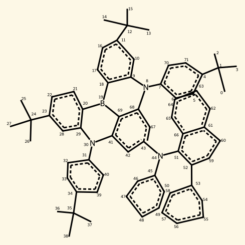 CC(C)(C)c1ccc(N2c3cc(C(C)(C)C)ccc3B3c4ccc(C(C)(C)C)cc4N(c4ccc(C(C)(C)C)cc4)c4cc(N(c5ccccc5)c5c(-c6ccccc6)ccc6ccccc56)cc2c43)cc1